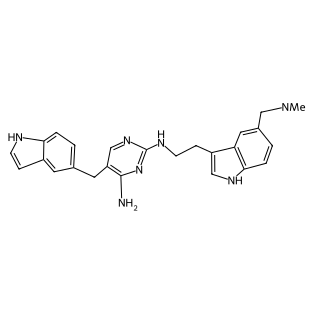 CNCc1ccc2[nH]cc(CCNc3ncc(Cc4ccc5[nH]ccc5c4)c(N)n3)c2c1